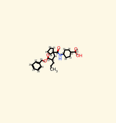 CCCC(CC1(C(=O)NC2CCC(C(=O)O)CC2)CCCC1)C(=O)OCc1ccccc1